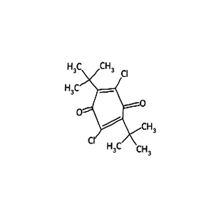 CC(C)(C)C1=C(Cl)C(=O)C(C(C)(C)C)=C(Cl)C1=O